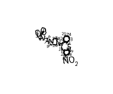 O=C1OCCN1CCN1CCN(C2Cc3cc([N+](=O)[O-])ccc3Sc3ccccc32)CC1